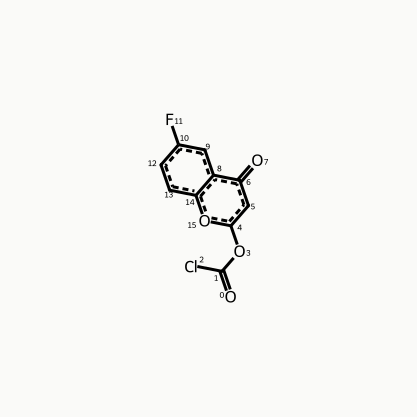 O=C(Cl)Oc1cc(=O)c2cc(F)ccc2o1